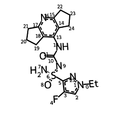 CCn1cc(F)c([S@@](N)(=O)=NC(=O)Nc2c3c(nc4c2CCC4)CCC3)n1